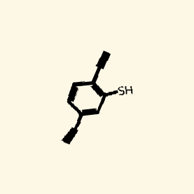 C#Cc1ccc(C#C)c(S)c1